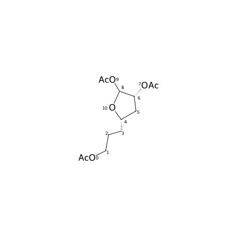 CC(=O)OCCC[C@H]1C[C@@H](OC(C)=O)C(OC(C)=O)O1